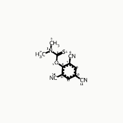 CN(C)C(=S)Oc1c(C#N)cc(C#N)cc1C#N